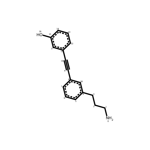 NCCCc1cccc(C#Cc2cccc(O)c2)c1